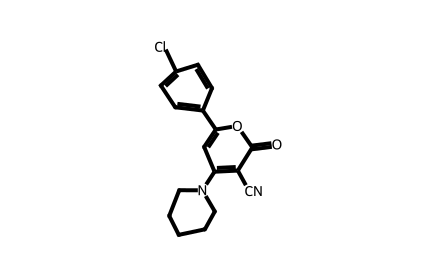 N#Cc1c(N2CCCCC2)cc(-c2ccc(Cl)cc2)oc1=O